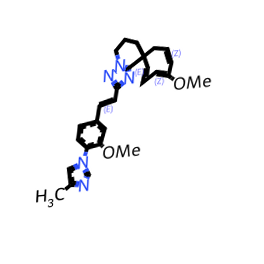 COC1=C\C=C\C2(C/C=C\1)CCCn1nc(/C=C/c3ccc(-n4cnc(C)c4)c(OC)c3)nc12